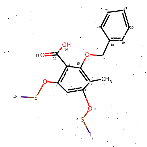 Cc1c(OSI)cc(OSI)c(C(=O)O)c1OCc1ccccc1